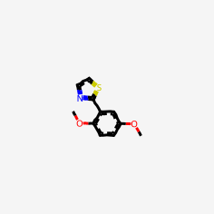 COc1ccc(OC)c(-c2nccs2)c1